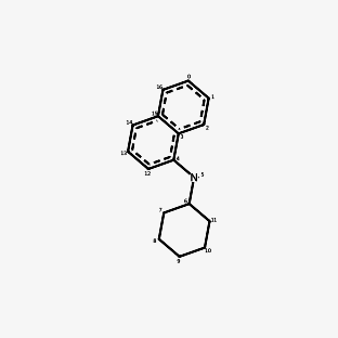 c1ccc2c([N]C3CCCCC3)cccc2c1